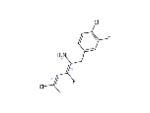 C/C(Cl)=C\C(F)=C(/N)Cc1ccc(Cl)c(F)c1